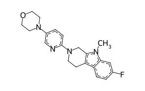 Cn1c2c(c3ccc(F)cc31)CCN(c1ccc(N3CCOCC3)cn1)C2